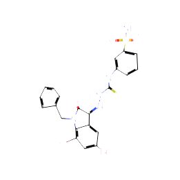 NS(=O)(=O)c1cccc(NC(=S)NN=C2C(=O)N(Cc3ccccc3)c3c(Br)cc(Br)cc32)c1